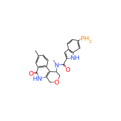 Cc1ccc2c3c([nH]c(=O)c2c1)COCC3N(C)C(=O)c1cc2ccc(P)cc2[nH]1